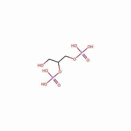 O=P(O)(O)OCC(CO)OP(=O)(O)O